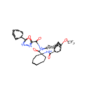 CCCCCN(C(=O)c1nnc(-c2ccccc2)o1)C(=O)C1(NC(=O)c2ccc(OC(F)(F)F)cc2)CCCCC1